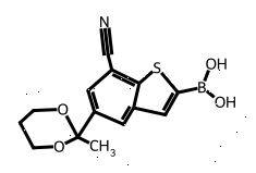 CC1(c2cc(C#N)c3sc(B(O)O)cc3c2)OCCCO1